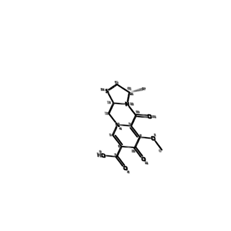 COc1c2n(cc(C(=O)O)c1=O)CC1SC[C@H](C)N1C2=O